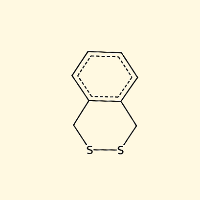 c1ccc2c(c1)CSSC2